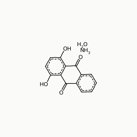 N.O.O=C1c2ccccc2C(=O)c2c(O)ccc(O)c21